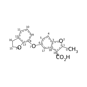 Cc1oc2ccc(Oc3cccc4c3OCC4)cc2c1C(=O)O